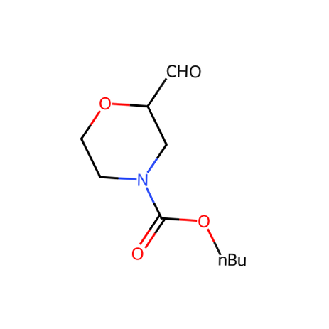 CCCCOC(=O)N1CCOC(C=O)C1